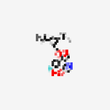 CN1CCC(O)CC1C1CCO[C@@H](OCCc2cc(C(F)(F)F)cc(C(F)(F)F)c2)[C@@H]1c1ccc(F)cc1